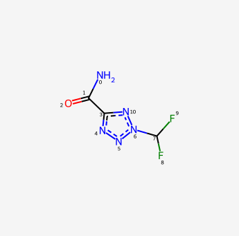 NC(=O)c1nnn(C(F)F)n1